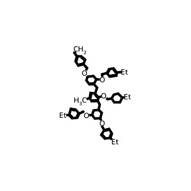 C=Cc1ccc(COC2CC=C(Cc3cc(C)cc(CC4CC(OCc5ccc(CC)cc5)CC(OCc5ccc(CC)cc5)C4)c3OCC3CCC(CC)CC3)C(OCc3ccc(CC)cc3)C2)cc1